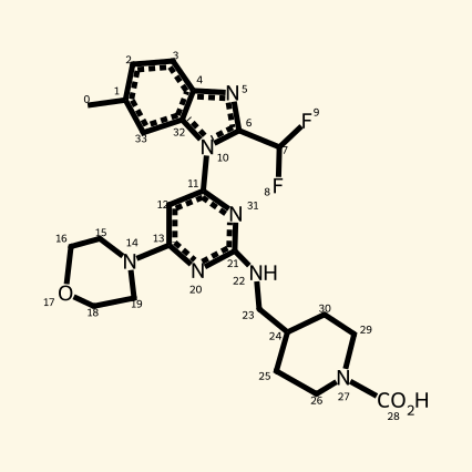 Cc1ccc2nc(C(F)F)n(-c3cc(N4CCOCC4)nc(NCC4CCN(C(=O)O)CC4)n3)c2c1